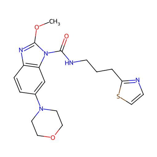 COc1nc2ccc(N3CCOCC3)cc2n1C(=O)NCCCc1nccs1